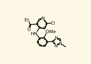 CCC(=O)c1cnc(Cl)cc1Nc1cccc(-c2ncn(C)n2)c1OC